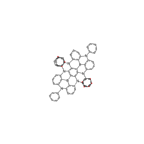 c1ccc(N2c3cccc4c3B3c5c2cccc5N(c2ccccc2)c2c3c(c3c5c2N(c2ccccc2)c2cccc6c2B5c2c(cccc2N3c2ccccc2)N6c2ccccc2)N4c2ccccc2)cc1